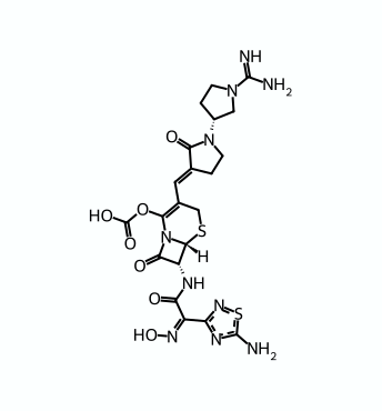 N=C(N)N1CC[C@@H](N2CC/C(=C\C3=C(OC(=O)O)N4C(=O)[C@@H](NC(=O)/C(=N\O)c5nsc(N)n5)[C@H]4SC3)C2=O)C1